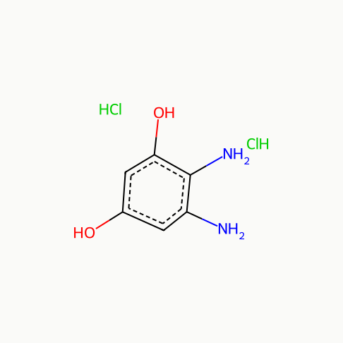 Cl.Cl.Nc1cc(O)cc(O)c1N